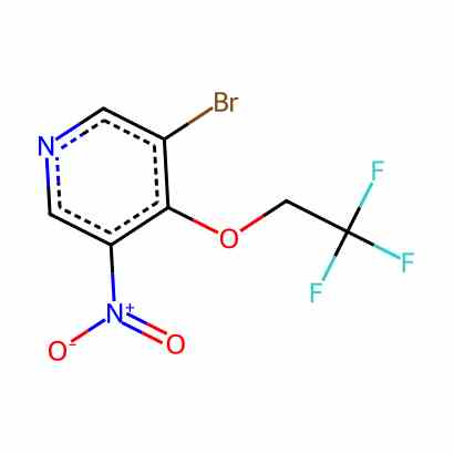 O=[N+]([O-])c1cncc(Br)c1OCC(F)(F)F